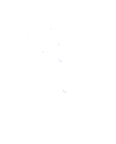 O=C(NC1(CO)CCOC1)c1ccccn1